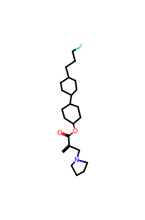 C=C(CN1CCCC1)C(=O)OC1CCC(C2CCC(CCCF)CC2)CC1